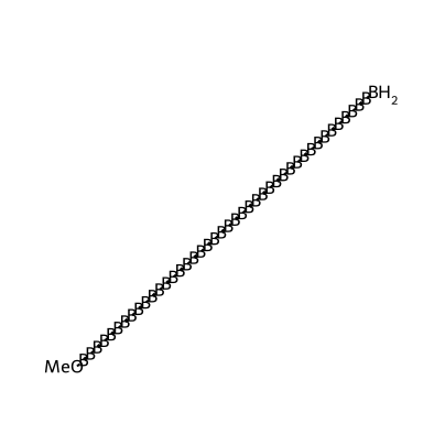 BB=BB=BB=BB=BB=BB=BB=BB=BB=BB=BB=BB=BB=BB=BB=BB=BB=BB=BB=BB=BB=BOC